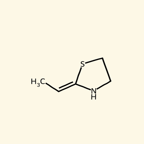 CC=C1NCCS1